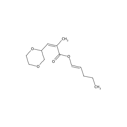 CCCC=COC(=O)C(C)=CC1COCCO1